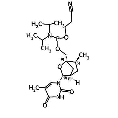 Cc1cn([C@@H]2O[C@]3(COP(OCCC#N)N(C(C)C)C(C)C)C[C@H]2C[C@@H]3C)c(=O)[nH]c1=O